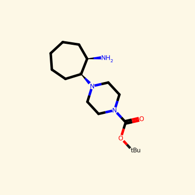 CC(C)(C)OC(=O)N1CCN([C@H]2CCCCC[C@H]2N)CC1